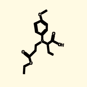 CCOC(=O)CCN(c1ccc(OC)cc1)C(CC)C(=O)O